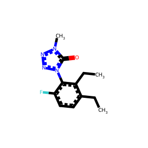 CCc1ccc(F)c(-n2nnn(C)c2=O)c1CC